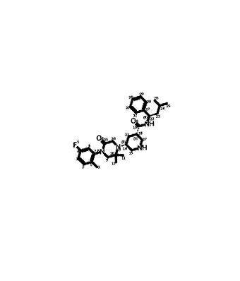 Cc1ccc(F)cc1N1CC(C)(C)N([C@H]2CNC[C@@H](C(=O)N[C@H](CC(C)C)c3ccccc3)C2)CC1=O